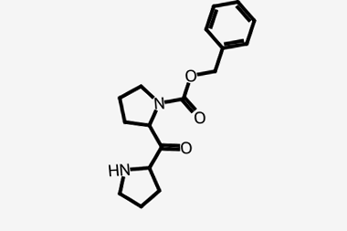 O=C(C1CCCN1)C1CCCN1C(=O)OCc1ccccc1